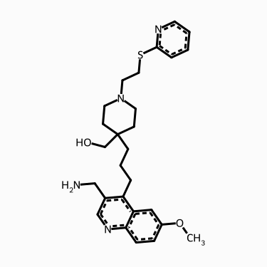 COc1ccc2ncc(CN)c(CCCC3(CO)CCN(CCSc4ccccn4)CC3)c2c1